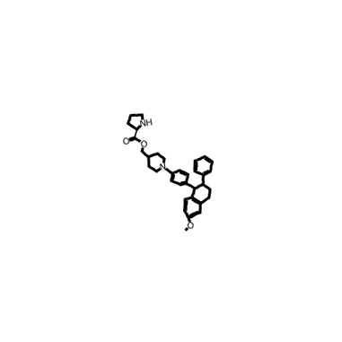 COc1ccc2c(c1)CCC(c1ccccc1)C2c1ccc(N2CCC(COC(=O)[C@H]3CCCN3)CC2)cc1